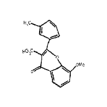 COc1cccc2c(=O)c(C(=O)O)c(-c3cccc(C)c3)oc12